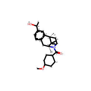 COC1CCC(C(=O)N2CC[C@]3(C)c4cc(C(C)O)ccc4C[C@H]2C3(C)C)CC1